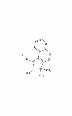 CCN1c2c(ccc3ccccc23)C(C)(C)C1C.I